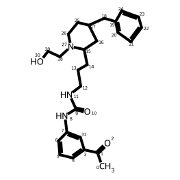 CC(=O)c1cccc(NC(=O)NCCCC2CC(Cc3ccccc3)CCN2CCO)c1